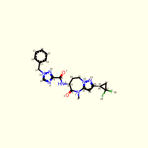 CN1C(=O)[C@@H](NC(=O)c2ncn(Cc3ccccc3)n2)CCn2nc([C@H]3CC3(F)F)cc21